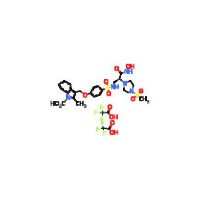 Cc1c(COc2ccc(S(=O)(=O)NC[C@@H](C(=O)NO)N3CCN(S(C)(=O)=O)CC3)cc2)c2ccccc2n1C(=O)O.O=C(O)C(F)(F)F.O=C(O)C(F)(F)F